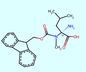 CC(C)C[C@@](N)(C(=O)O)N(C)C(=O)OCC1c2ccccc2-c2ccccc21